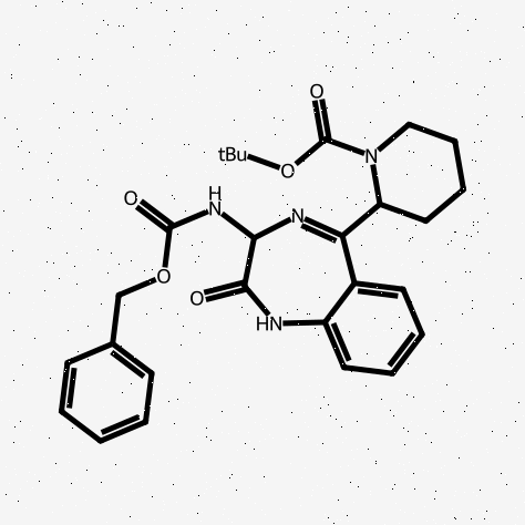 CC(C)(C)OC(=O)N1CCCCC1C1=NC(NC(=O)OCc2ccccc2)C(=O)Nc2ccccc21